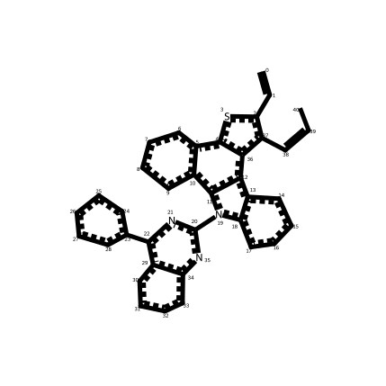 C=Cc1sc2c3ccccc3c3c(c4ccccc4n3-c3nc(-c4ccccc4)c4ccccc4n3)c2c1/C=C\C